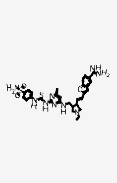 CCN1CC(/C=C/c2cc3cc(C(=N)N)ccc3o2)C(CNc2cc(C)nc(NC(=S)Nc3ccc(S(N)(=O)=O)cc3)n2)C1